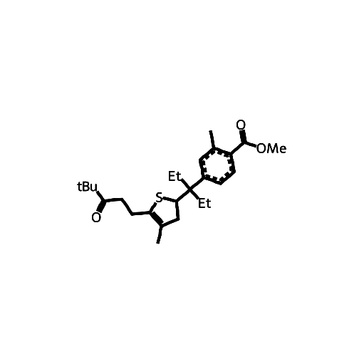 CCC(CC)(c1ccc(C(=O)OC)c(C)c1)C1CC(C)=C(CCC(=O)C(C)(C)C)S1